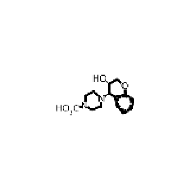 O=C(O)N1CCN([C@@H]2c3ccccc3OC[C@H]2O)CC1